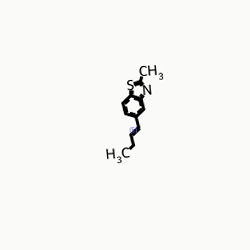 CC/C=C/c1ccc2sc(C)nc2c1